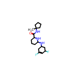 CC1(NC(=O)C2CCCC(NC3CC(F)=CC(F)C3)N2)CCCC1